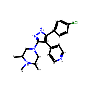 CC1CN(c2n[nH]c(-c3ccc(Cl)cc3)c2-c2ccncc2)CC(C)N1C